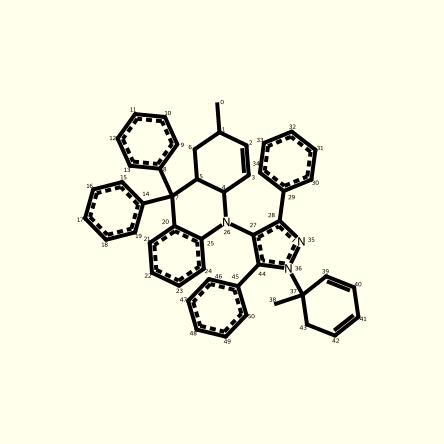 CC1C=CC2C(C1)C(c1ccccc1)(c1ccccc1)c1ccccc1N2c1c(-c2ccccc2)nn(C2(C)C=CC=CC2)c1-c1ccccc1